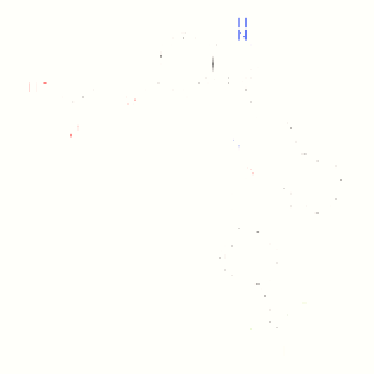 O=C(O)COc1ccc2[nH]cc(C(Cc3ccccc3)=NOCc3ccc(C(F)(F)F)cc3)c2c1